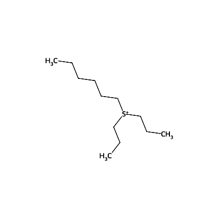 CCCCCC[S+](CCC)CCC